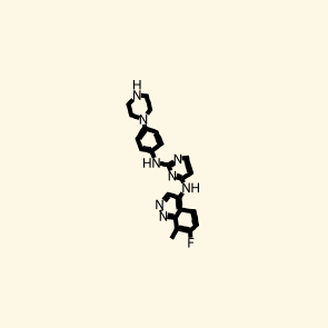 Cc1c(F)ccc2c(Nc3ccnc(Nc4ccc(N5CCNCC5)cc4)n3)cnnc12